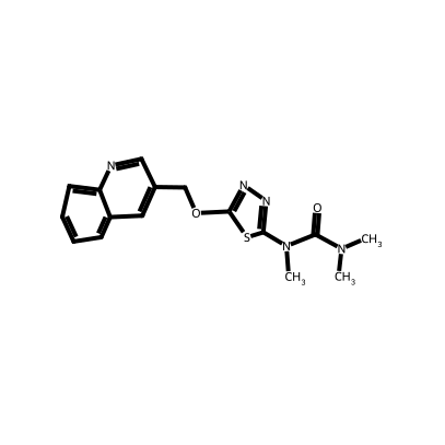 CN(C)C(=O)N(C)c1nnc(OCc2cnc3ccccc3c2)s1